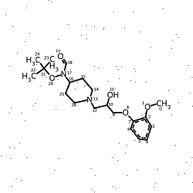 COc1ccccc1OCC(O)CN1CCC(N(C=O)OC(C)(C)C)CC1